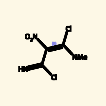 CN/C(Cl)=C(\C(=N)Cl)[N+](=O)[O-]